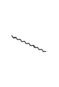 [CH2]CCCCC=CCCCCCCCC=CC